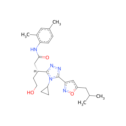 Cc1ccc(NC(=O)C[C@@H](CCO)c2nnc(-c3cc(CC(C)C)on3)n2C2CC2)c(C)c1